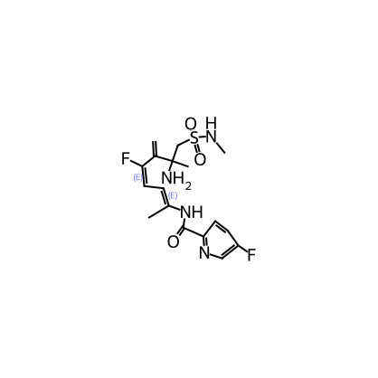 C=C(/C(F)=C\C=C(/C)NC(=O)c1ccc(F)cn1)C(C)(N)CS(=O)(=O)NC